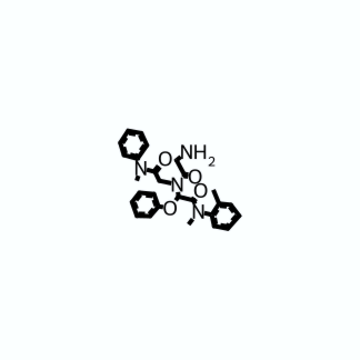 Cc1ccccc1N(C)C(=O)C(Oc1ccccc1)N(CC(=O)N(C)c1ccccc1)C(=O)CN